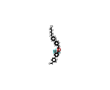 C=C[C@H]1CC[C@H](c2ccc(C(F)(F)OCCc3ccc([C@H]4CC[C@H](CCCCCC)CC4)cc3)c(F)c2)CC1